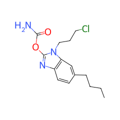 CCCCc1ccc2nc(OC(N)=O)n(CCCCl)c2c1